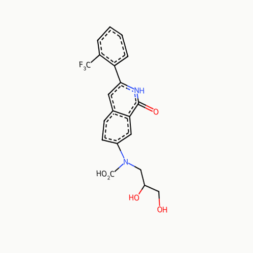 O=C(O)N(CC(O)CO)c1ccc2cc(-c3ccccc3C(F)(F)F)[nH]c(=O)c2c1